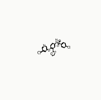 O=S(=O)(Nc1ccc(Oc2cncc(Cl)c2)c(C2OCCO2)c1)c1ccc(Cl)cc1